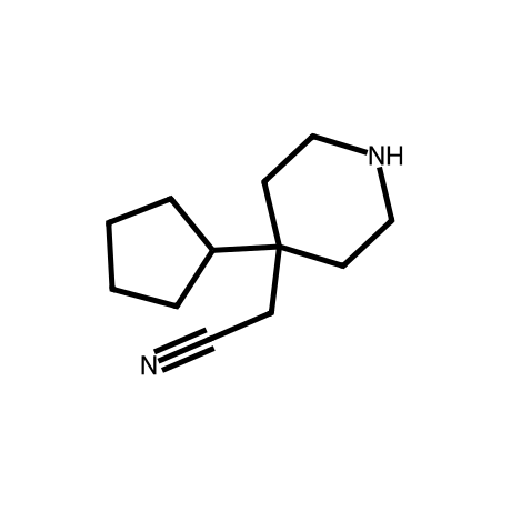 N#CCC1(C2CCCC2)CCNCC1